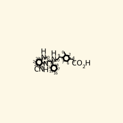 Cc1cc(CC(=O)O)ccc1CCN[C@H](c1ccccc1)[C@H]1CNc2cccc(C#N)c2N1